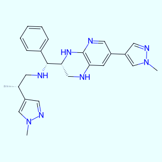 C[C@H](CN[C@H](c1ccccc1)[C@H]1CNc2cc(-c3cnn(C)c3)cnc2N1)c1cnn(C)c1